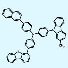 Cc1ccc2c3ccccc3n(-c3ccc(N(c4ccc(-c5ccc6ccccc6c5)cc4)c4ccc(-c5cccc6c5sc5ccccc56)cc4)cc3)c2c1